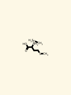 CCl.CSCCC(N)C(=O)O.S